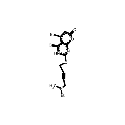 CCc1cc(=O)oc2nc(OCC#CCN(C)CC)[nH]c(=O)c12